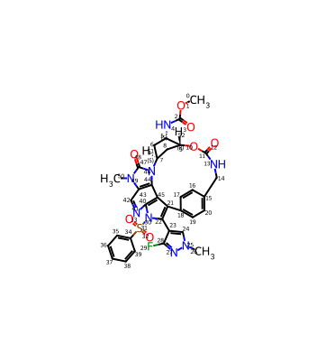 COC(=O)N[C@H]1C[C@H]2C[C@H]1OC(=O)NCc1ccc(cc1)-c1c(-c3cn(C)nc3F)n(S(=O)(=O)c3ccccc3)c3ncc4c(c13)n2c(=O)n4C